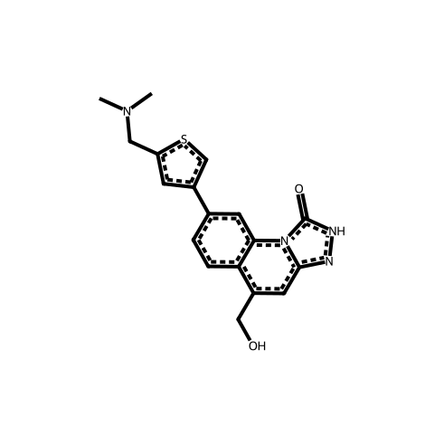 CN(C)Cc1cc(-c2ccc3c(CO)cc4n[nH]c(=O)n4c3c2)cs1